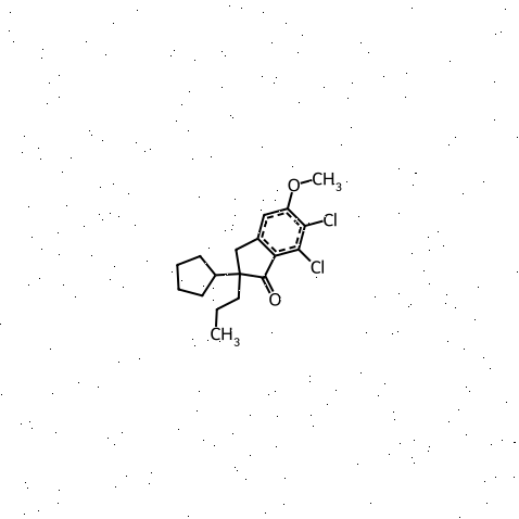 CCCC1(C2CCCC2)Cc2cc(OC)c(Cl)c(Cl)c2C1=O